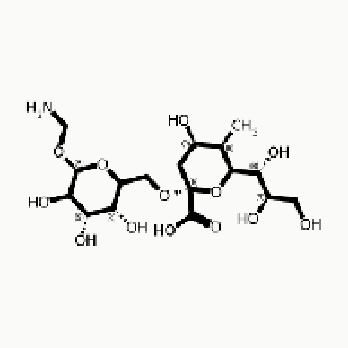 C[C@H]1C([C@H](O)[C@H](O)CO)O[C@@](OCC2O[C@H](OCN)C(O)[C@@H](O)[C@H]2O)(C(=O)O)C[C@H]1O